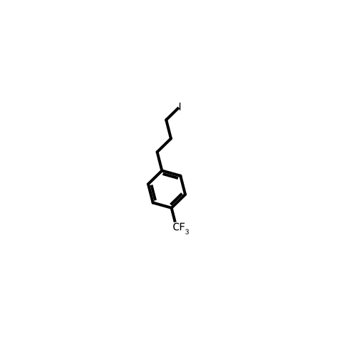 FC(F)(F)c1ccc(CCCI)cc1